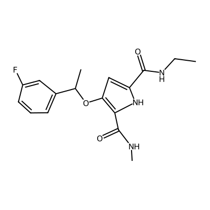 CCNC(=O)c1cc(OC(C)c2cccc(F)c2)c(C(=O)NC)[nH]1